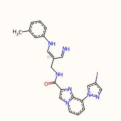 Cc1cccc(N/C=C(\C=N)CNC(=O)c2cn3cccc(-n4cc(I)cn4)c3n2)c1